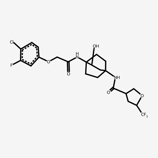 O=C(COc1ccc(Cl)c(F)c1)NC12CCC(NC(=O)C3COC(C(F)(F)F)C3)(CC1)CC2O